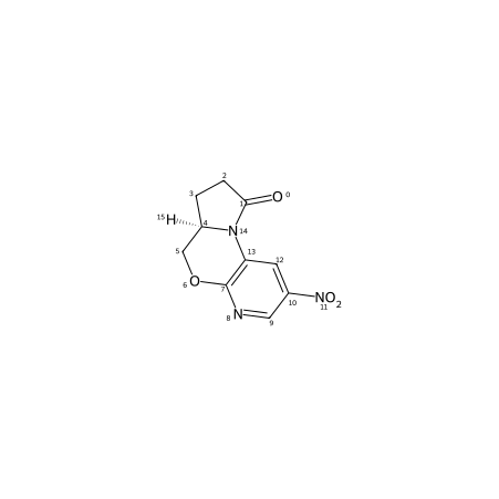 O=C1CC[C@@H]2COc3ncc([N+](=O)[O-])cc3N12